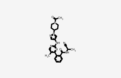 CC(=O)N1CCC(n2cc(Nc3ncc(C)c(-c4ccccc4C(=O)NC(C)C#N)n3)cn2)CC1